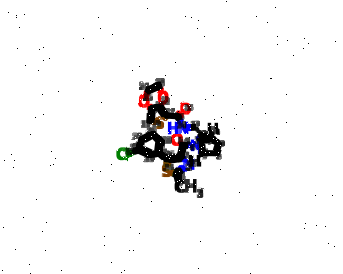 Cc1nc(C(=O)N2[C@@H]3CC[C@@H](C3)[C@H]2CNC(=O)c2scc3c2OCCO3)c(-c2cccc(Cl)c2)s1